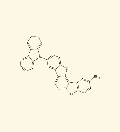 Bc1ccc2oc3ccc4c5cc(-n6c7ccccc7c7ccccc76)ccc5oc4c3c2c1